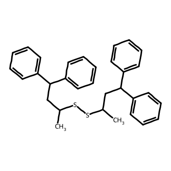 CC(CC(c1ccccc1)c1ccccc1)SSC(C)CC(c1ccccc1)c1ccccc1